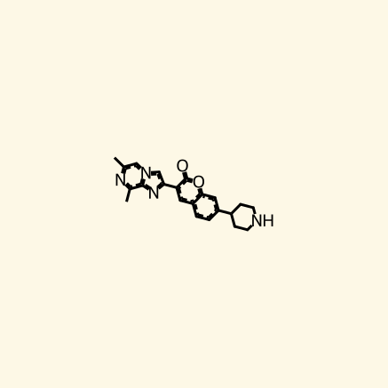 Cc1cn2cc(-c3cc4ccc(C5CCNCC5)cc4oc3=O)nc2c(C)n1